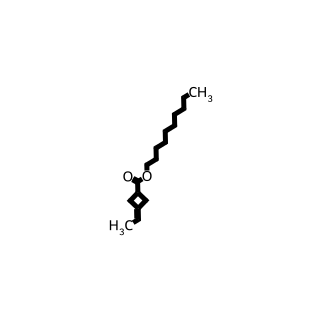 CC=C1CC(C(=O)OCCCCCCCCCC)C1